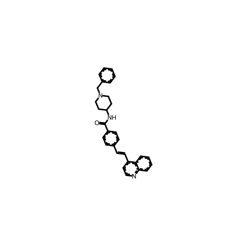 O=C(NC1CCN(Cc2ccccc2)CC1)c1ccc(C=Cc2ccnc3ccccc23)cc1